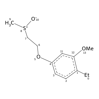 CCc1ccc(OCC[S+](C)[O-])cc1OC